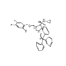 O=S(=O)(NC1CC1)N1C[C@H](SC(c2ccccc2)(c2ccccc2)c2ccccc2)C[C@H]1COCc1cc(F)c(F)cc1F